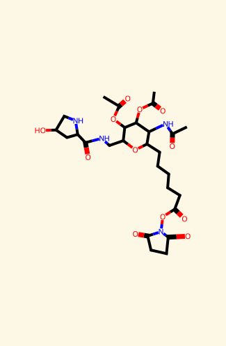 CC(=O)NC1C(CCCCCC(=O)ON2C(=O)CCC2=O)OC(CNC(=O)C2CC(O)CN2)C(OC(C)=O)C1OC(C)=O